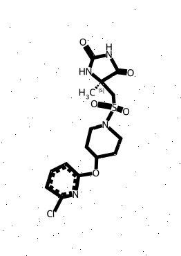 C[C@]1(CS(=O)(=O)N2CCC(Oc3cccc(Cl)n3)CC2)NC(=O)NC1=O